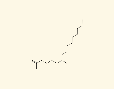 C=C(C)CCCCC(C)CCCCCCCCC